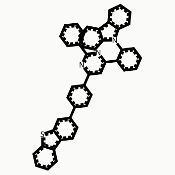 c1ccc(-c2nc(-c3ccc(-c4ccc5c(c4)sc4ccccc45)cc3)cc(-c3ccccc3-n3c4ccccc4c4ccccc43)n2)cc1